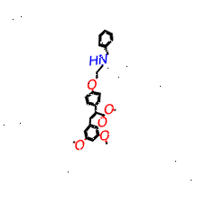 COC(=O)C(=Cc1cc(OC)cc(OC)c1)c1ccc(OCCCNCc2ccccc2)cc1